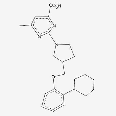 Cc1cc(C(=O)O)nc(N2CCC(COc3ccccc3C3CCCCC3)C2)n1